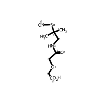 CC(C)(CNC(=O)COCC(=O)O)SN=O